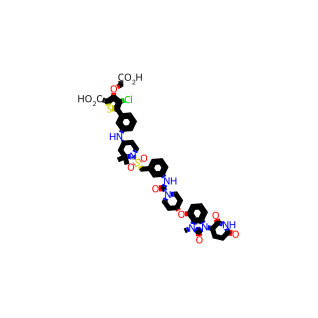 Cn1c(=O)n(C2CCC(=O)NC2=O)c2cccc(OC3CCN(C(=O)Nc4cccc(CS(=O)(=O)N5CC[C@H](Nc6cccc(-c7sc(C(=O)O)c(OCC(=O)O)c7Cl)c6)CC5(C)C)c4)CC3)c21